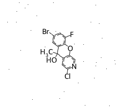 CC1(O)c2cc(Cl)ncc2Oc2c(F)cc(Br)cc21